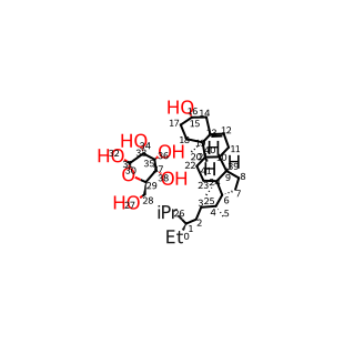 CC[C@H](CC[C@@H](C)[C@H]1CC[C@H]2[C@@H]3CC=C4C[C@@H](O)CC[C@]4(C)[C@H]3CC[C@]12C)C(C)C.OC[C@H]1OC(O)[C@H](O)[C@@H](O)[C@@H]1O